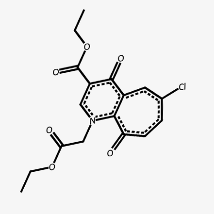 CCOC(=O)Cn1cc(C(=O)OCC)c(=O)c2cc(Cl)ccc(=O)c21